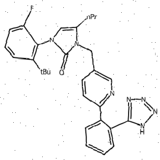 CCCc1cn(-c2c(F)cccc2C(C)(C)C)c(=O)n1Cc1ccc(-c2ccccc2-c2nnn[nH]2)nc1